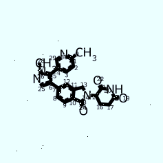 Cc1ccc(-c2c(-c3ccc4c(c3)CN(C3CCC(=O)NC3=O)C4=O)cnn2C)cn1